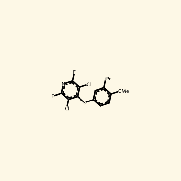 COc1ccc(Sc2c(Cl)c(F)nc(F)c2Cl)cc1C(C)C